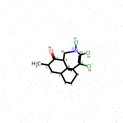 CC1CC2CCCC3=C2C(CN(Cl)C(Cl)=C3Cl)C1=O